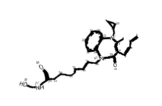 C=C/C=C\C1=C(C)N(C2CC2)c2ccccc2N(CCCCCCCC(=O)NO)C1=O